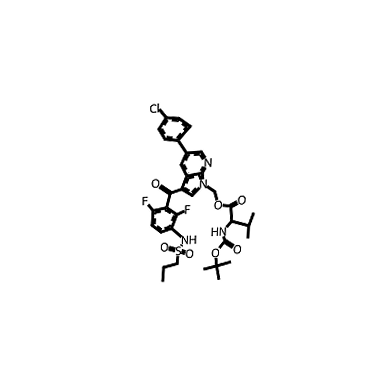 CCCS(=O)(=O)Nc1ccc(F)c(C(=O)c2cn(COC(=O)C(NC(=O)OC(C)(C)C)C(C)C)c3ncc(-c4ccc(Cl)cc4)cc23)c1F